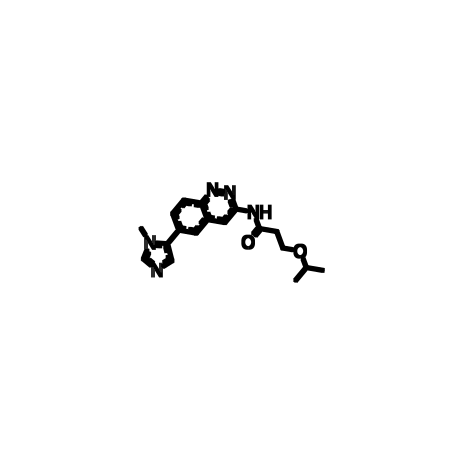 CC(C)OCCC(=O)Nc1cc2cc(-c3cncn3C)ccc2nn1